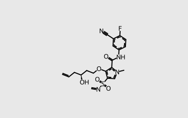 C=CC[C@H](O)CCOc1c(S(=O)(=O)N=C)cn(C)c1C(=O)Nc1ccc(F)c(C#N)c1